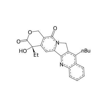 CCCCc1c2c(nc3ccccc13)-c1cc3c(c(=O)n1C2)COC(=O)[C@]3(O)CC